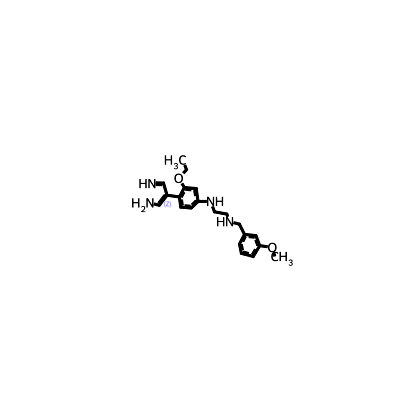 CCOc1cc(NCCNCc2cccc(OC)c2)ccc1/C(C=N)=C/N